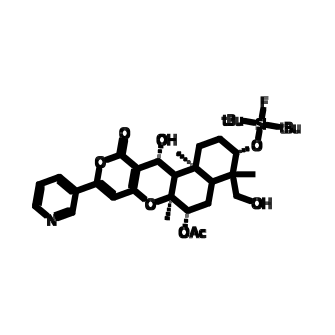 CC(=O)O[C@H]1CC2C(C)(CO)[C@@H](O[Si](F)(C(C)(C)C)C(C)(C)C)CC[C@]2(C)C2[C@@H](O)c3c(cc(-c4cccnc4)oc3=O)O[C@@]21C